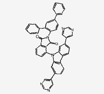 O=C1c2cccc(-n3c4cc(-c5cncnc5)ccc4c4ccc(-c5cncnc5)cc43)c2C(=O)N1c1ccc(-c2ccccc2)cc1-c1ccccc1